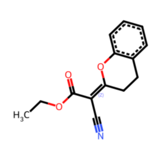 CCOC(=O)/C(C#N)=C1/CCc2ccccc2O1